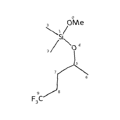 CO[Si](C)(C)OC(C)CCC(F)(F)F